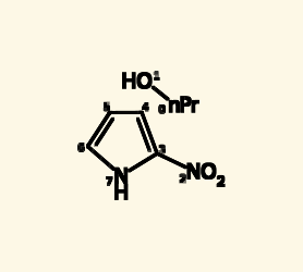 CCCO.O=[N+]([O-])c1ccc[nH]1